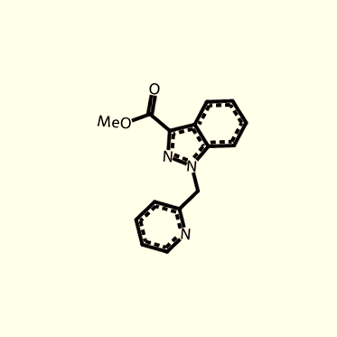 COC(=O)c1nn(Cc2ccccn2)c2ccccc12